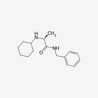 C[C@H](NC1CCCCC1)C(=O)NCc1ccccc1